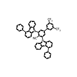 N#Cc1c(-n2c3ccccc3c3c(-c4ccccc4)cccc32)cc(-c2cc(C(F)(F)F)cc(C(F)(F)F)c2)cc1-n1c2ccccc2c2c(-c3ccccc3)cccc21